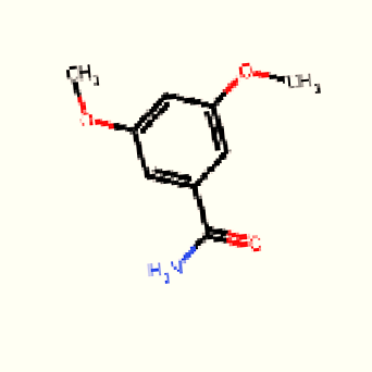 COc1cc(OC)cc(C(N)=O)c1